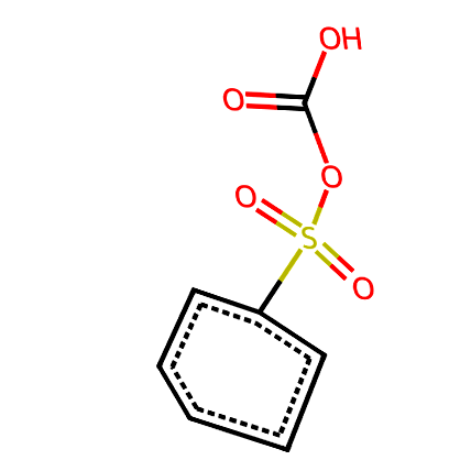 O=C(O)OS(=O)(=O)c1ccccc1